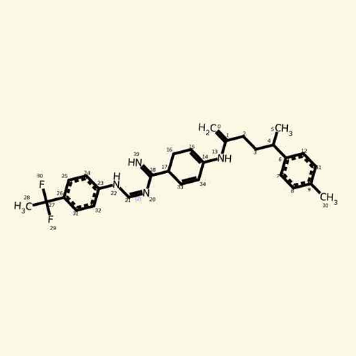 C=C(CCC(C)c1ccc(C)cc1)NC1=CCC(C(=N)/N=C\Nc2ccc(C(C)(F)F)cc2)C=C1